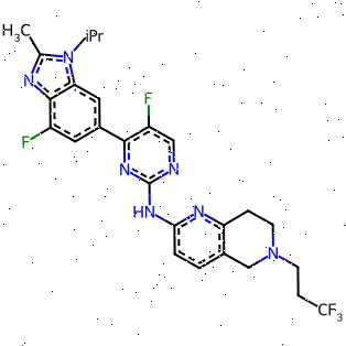 Cc1nc2c(F)cc(-c3nc(Nc4ccc5c(n4)CCN(CCC(F)(F)F)C5)ncc3F)cc2n1C(C)C